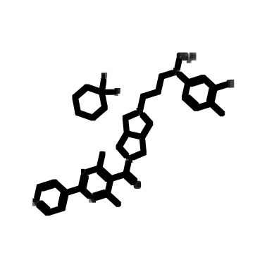 Cc1ccc(N(CCCN2CC3CN(C(=O)c4c(C)nc(-c5ccncc5)nc4C)CC3C2)C(=O)O)cc1Cl.FC1(F)CCCCC1